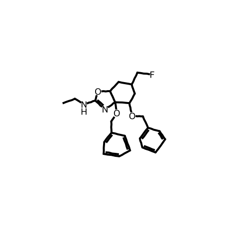 CCNC1=NC2(OCc3ccccc3)C(OCc3ccccc3)CC(CF)CC2O1